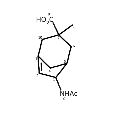 CC(=O)NC1C=C2CC1CC(C)(C(=O)O)C2